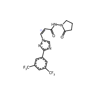 O=C(/C=C\n1cnc(-c2cc(C(F)(F)F)cc(C(F)(F)F)c2)n1)NN1CCCC1=O